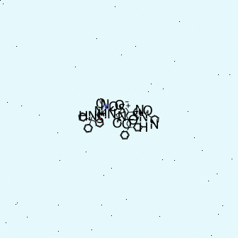 CO/N=C(/C(=O)NC1C(=O)N2C(C(=O)OC(c3ccccc3)c3ccccc3)=C(c3cnc(NC(=O)c4cccnc4)s3)C[S+]([O-])C12)c1csc(NC(c2ccccc2)(c2ccccc2)c2ccccc2)n1